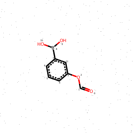 O=COc1cccc(B(O)O)c1